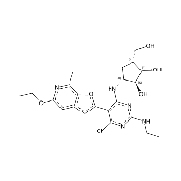 CCNc1nc(Cl)c(-c2cc3cc(OCC)nc(C)c3o2)c(N[C@@H]2C[C@H](CO)[C@@H](O)[C@H]2O)n1